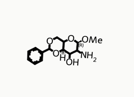 CO[C@@H]1OC2COC(c3ccccc3)O[C@@H]2C(O)C1N